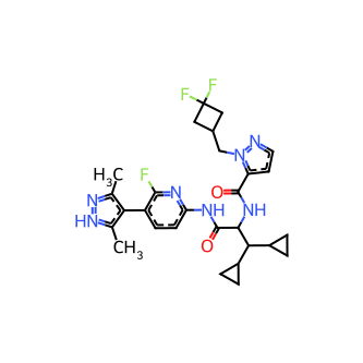 Cc1n[nH]c(C)c1-c1ccc(NC(=O)C(NC(=O)c2ccnn2CC2CC(F)(F)C2)C(C2CC2)C2CC2)nc1F